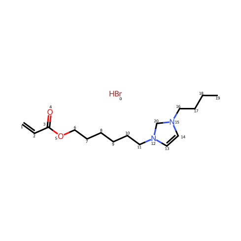 Br.C=CC(=O)OCCCCCCN1C=CN(CCCC)C1